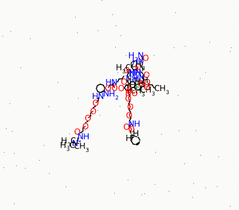 CCCC1O[C@@H]2C[C@H]3[C@@H]4C[C@H](F)C5=CC(=O)C=C[C@]5(C)[C@@]4(F)[C@@H](O)C[C@]3(C)[C@]2(C(=O)CNC(=O)[C@H](CCCNC(N)=O)NC(=O)[C@@H](NC(=O)[C@@H](CCCCNC(=O)COC2CCCCC/C(NCCOCCOCCOCCOCCC(=O)NCC[N+](C)(C)C)=C\2N)NC(=O)CCOCCOCCOCCOCCNC(=O)OC[C@@H]2[C@@H]3CCC#CCC[C@@H]32)C(C)C)O1